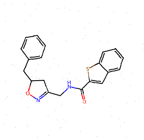 O=C(NCC1=NOC(Cc2ccccc2)C1)c1cc2ccccc2s1